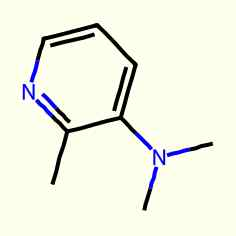 Cc1ncccc1N(C)C